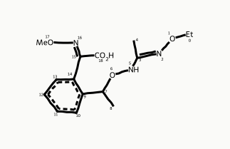 CCO/N=C(\C)NOC(C)c1ccccc1/C(=N\OC)C(=O)O